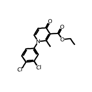 CCOC(=O)c1c(C)n(-c2ccc(Cl)c(Cl)c2)ccc1=O